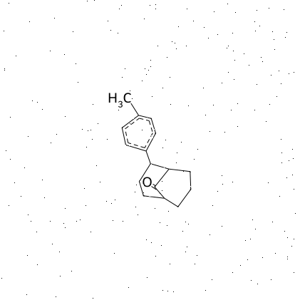 Cc1ccc(C2CCC3CCCC2C3=O)cc1